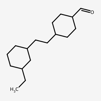 CCC1CCCC(CCC2CCC(C=O)CC2)C1